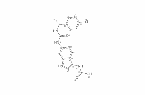 C[C@@H](NC(=O)Nc1cc2[nH]nc(NC(=O)O)c2cn1)c1ccc(Cl)nc1